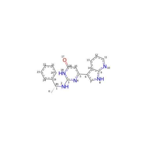 C[C@@H](Nc1nc(-c2c[nH]c3ncccc23)cc(=O)[nH]1)c1ccccc1